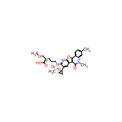 CNC(=O)c1c(-c2ccc(C)cc2)oc2nc(N(CCC[C@H](COC)C(=O)O)S(C)(=O)=O)c(C3CC3)cc12